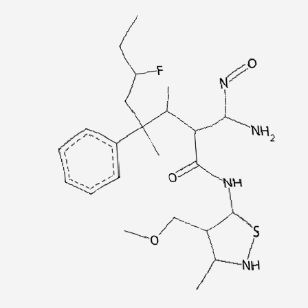 CCC(F)CC(C)(c1ccccc1)C(C)C(C(=O)NC1SNC(C)C1COC)C(N)N=O